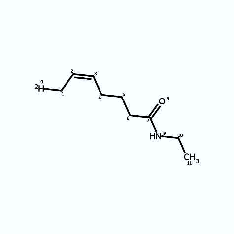 [2H]C/C=C\CCCC(=O)NCC